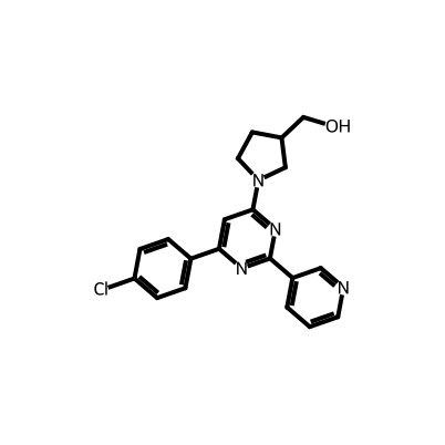 OCC1CCN(c2cc(-c3ccc(Cl)cc3)nc(-c3cccnc3)n2)C1